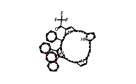 O=C(C1=Cc2cc3ccc(cc4nc(cc5c(-c6ccccc6)c(-c6ccccc6)c(c(-c6ccccc6)c1n2)n5-c1ccccc1)C=C4)[nH]3)C(F)(F)F